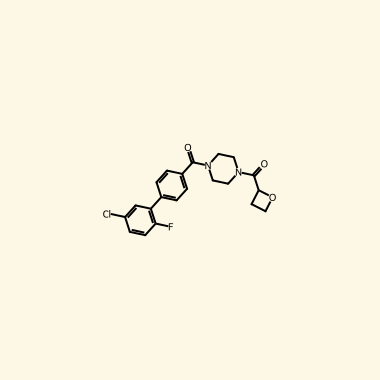 O=C(c1ccc(-c2cc(Cl)ccc2F)cc1)N1CCN(C(=O)C2CCO2)CC1